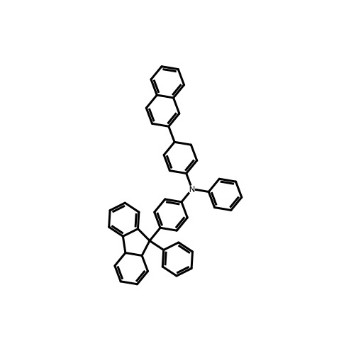 C1=CC2c3ccccc3C(c3ccccc3)(c3ccc(N(C4=CCC(c5ccc6ccccc6c5)C=C4)c4ccccc4)cc3)C2C=C1